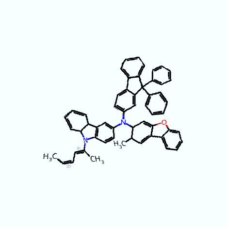 C/C=C\C=C(/C)N1c2ccc(N(c3ccc4c(c3)C(c3ccccc3)(c3ccccc3)c3ccccc3-4)C3C=c4oc5ccccc5c4=CC3C)cc2C2C=CC=CC21